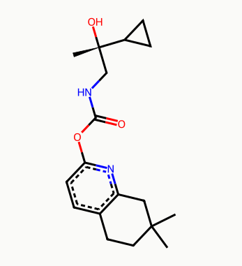 CC1(C)CCc2ccc(OC(=O)NC[C@](C)(O)C3CC3)nc2C1